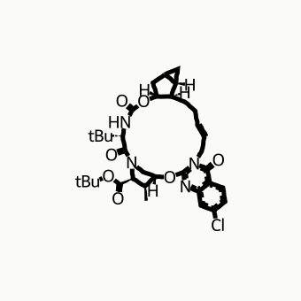 C[C@@H]1[C@@H]2CN(C(=O)[C@H](C(C)(C)C)NC(=O)O[C@@H]3CC4C[C@@H]4[C@H]3CC/C=C/Cn3c(nc4cc(Cl)ccc4c3=O)O2)[C@@H]1C(=O)OC(C)(C)C